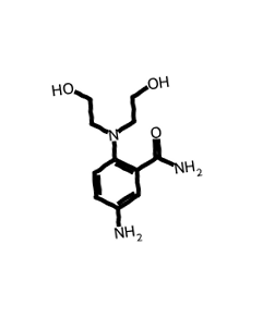 NC(=O)c1cc(N)ccc1N(CCO)CCO